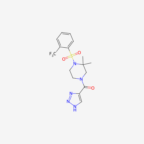 CC1(C)CN(C(=O)c2c[nH]nn2)CCN1S(=O)(=O)c1ccccc1C(F)(F)F